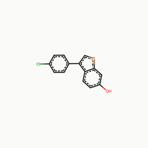 Oc1ccc2c(-c3ccc(Cl)cc3)csc2c1